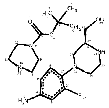 CC(C)(C)OC(=O)N1CCNCC1.Nc1ccc(N2CCN[C@H](CO)C2)c(F)c1